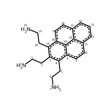 NCCc1c(CCN)c2ccc3cccc4ccc(c1CCN)c2c34